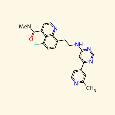 CNC(=O)c1ccnc2c(CCNc3cc(-c4ccnc(C)c4)ncn3)ccc(F)c12